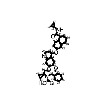 COc1cc2c(Oc3ccc4c(C(=O)NC5CC5)cccc4c3)ccnc2cc1OCC1(N(Cc2ccccc2)C(=O)O)CC1